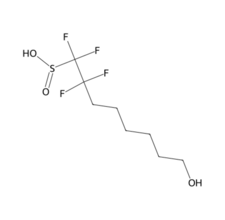 O=S(O)C(F)(F)C(F)(F)CCCCCCO